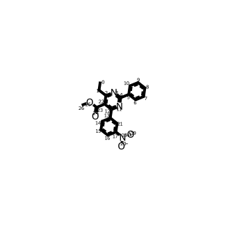 CCc1nc(-c2ccccc2)nc(-c2cccc([N+](=O)[O-])c2)c1C(=O)OC